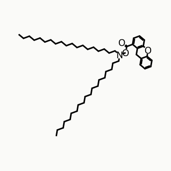 CCCCCCCCCCCCCCCCCCCN(CCCCCCCCCCCCCCCCCCC)OC(=O)c1cccc2c1Cc1ccccc1O2